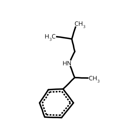 CC(C)CNC(C)c1ccccc1